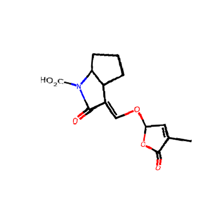 CC1=CC(O/C=C2/C(=O)N(C(=O)O)C3CCCC23)OC1=O